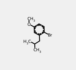 COc1ccc(Br)c(CC(C)C)c1